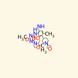 COc1nc(Nc2cc(C3CCN(C4COC4)CC3)c(C)cc2C=N)cc(N2CCOC(C)C2CO)n1